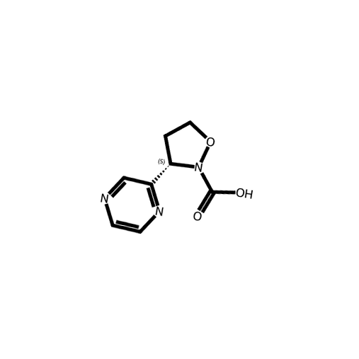 O=C(O)N1OCC[C@H]1c1cnccn1